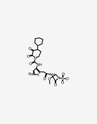 COC1(NC(=O)Cc2sccc2NC(=O)N2CCC(C3CCCCC3)C(=O)C2=O)CN(S(=O)(=O)[O-])C1=O.[Na+]